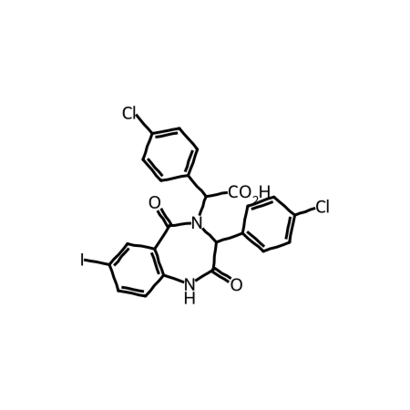 O=C(O)C(c1ccc(Cl)cc1)N1C(=O)c2cc(I)ccc2NC(=O)C1c1ccc(Cl)cc1